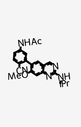 COc1cc2nc(NC(C)C)ncc2cc1-c1cc(NC(C)=O)ccc1C#N